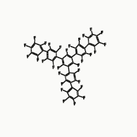 Fc1c(F)c(F)c(-c2c(F)c(F)c(-c3c(F)c(-c4c(F)c(F)c(-c5c(F)c(F)c(F)c(F)c5F)c(F)c4F)c(F)c(-c4c(F)c(F)c(-c5c(F)c(F)c(F)c(F)c5F)c(F)c4F)c3F)c(F)c2F)c(F)c1F